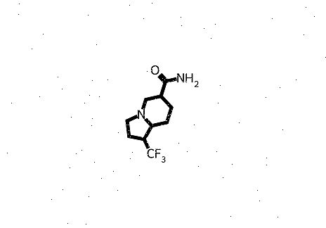 NC(=O)C1CCC2C(C(F)(F)F)CCN2C1